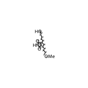 COCCCCCCCCCCCCO.O=C1C=CC(=O)N1